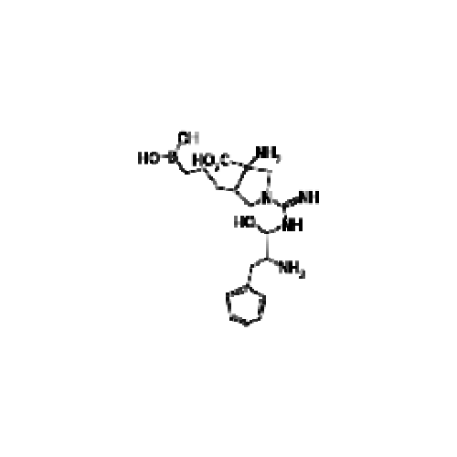 N=C(NC(O)C(N)Cc1ccccc1)N1CC(CCCB(O)O)C(N)(C(=O)O)C1